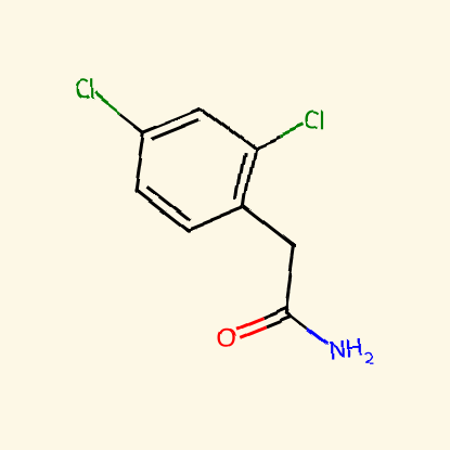 NC(=O)Cc1ccc(Cl)cc1Cl